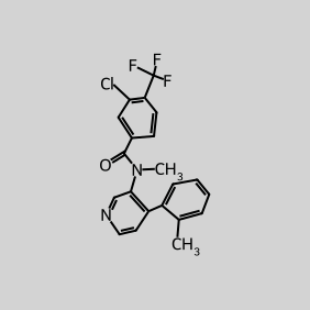 Cc1ccccc1-c1ccncc1N(C)C(=O)c1ccc(C(F)(F)F)c(Cl)c1